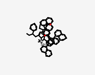 CCC(CC1=Cc2c(-c3cccc4ccccc34)ccc(-c3cccc4ccccc34)c2[CH]1[Zr]([CH3])([CH3])(=[SiH2])[CH]1C(CC(CC)c2ccccc2)=Cc2c(-c3cccc4ccccc34)ccc(-c3cccc4ccccc34)c21)c1ccccc1